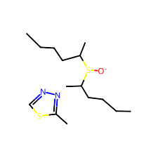 CCCCC(C)[S+]([O-])C(C)CCCC.Cc1nncs1